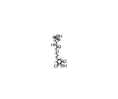 O=C(COCCSc1cc(Cl)c(O)c(Cl)c1)NCCS(=O)(=O)O